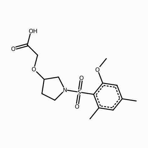 COc1cc(C)cc(C)c1S(=O)(=O)N1CCC(OCC(=O)O)C1